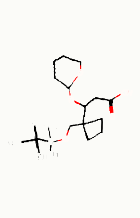 CC(C)(C)[Si](C)(C)OCC1(C(CC(=O)O)O[C@H]2CCCCO2)CCC1